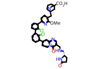 COc1nc(-c2cccc(-c3cccc(-c4ccn5c(=O)c(CNC[C@@H]6CCC(=O)N6)cnc5c4)c3Cl)c2Cl)ccc1CN1CC2(C(=O)O)CCC1CC2